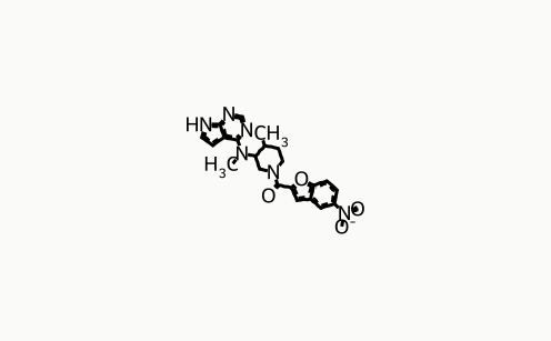 CC1CCN(C(=O)c2cc3cc([N+](=O)[O-])ccc3o2)CC1N(C)c1ncnc2[nH]ccc12